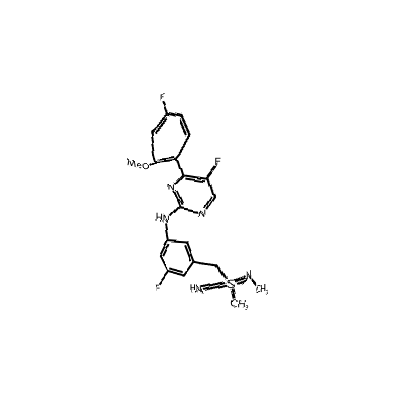 CN=S(C)(=N)Cc1cc(F)cc(Nc2ncc(F)c(-c3ccc(F)cc3OC)n2)c1